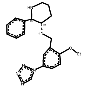 CCOc1ccc(-n2cnnn2)cc1CN[C@H]1CCCN[C@@H]1c1ccccc1